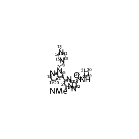 CNc1cc(-c2cn(CCN3CCN(C)CC3)c3ncccc23)nc2c(C(=O)NC3CCC3)cnn12